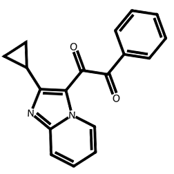 O=C(C(=O)c1c(C2CC2)nc2ccccn12)c1ccccc1